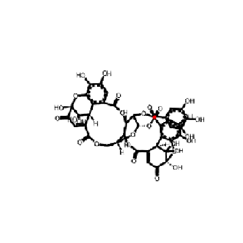 O=C1O[C@H]2[C@@H]3OC(=O)c4cc(O)c(O)c5c4[C@@H]4C(=CC(=O)[C@](O)(O5)C4(O)O)C(=O)OC[C@H]2O[C@@H](OC(=O)c2cc(O)c(O)c(O)c2)C3OC(=O)c2cc(O)c(O)c3c2[C@@H]2C1=CC(=O)[C@](O)(O3)C2(O)O